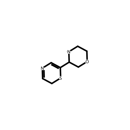 C1=NC=C(C2COCC[N]2)SC1